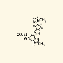 CCOC(=O)C(=O)c1cc(NCc2cccc(-c3nccn3C)c2)n2nc(C)c(I)c2n1